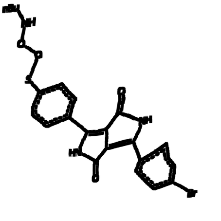 CCCCNOOSc1ccc(C2=C3C(=O)NC(c4ccc(Br)cc4)=C3C(=O)N2)cc1